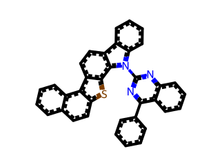 c1ccc(-c2nc(-n3c4ccccc4c4ccc5c(sc6ccc7ccccc7c65)c43)nc3ccccc23)cc1